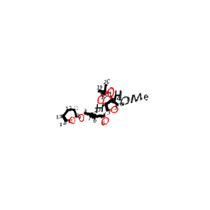 CO[C@@H]1O[C@H](C(=O)C#CCOC2CCCCO2)[C@H]2OC(C)(C)O[C@@H]12